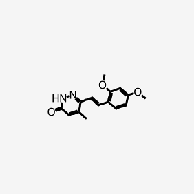 COc1ccc(C=Cc2n[nH]c(=O)cc2C)c(OC)c1